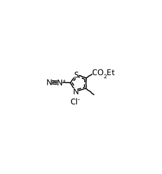 CCOC(=O)c1sc([N+]#N)nc1C.[Cl-]